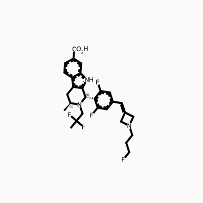 C[C@H]1Cc2c([nH]c3cc(C(=O)O)ccc23)[C@H](c2c(F)cc(C=C3CN(CCCF)C3)cc2F)N1CC(C)(F)F